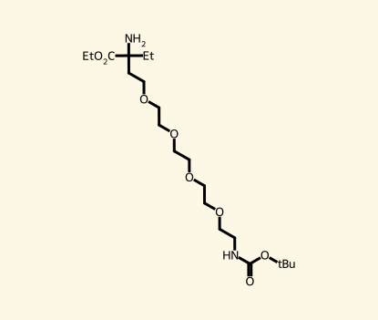 CCOC(=O)C(N)(CC)CCOCCOCCOCCOCCNC(=O)OC(C)(C)C